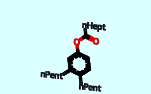 CCCCCCCC(=O)Oc1ccc(CCCCC)c(CCCCC)c1